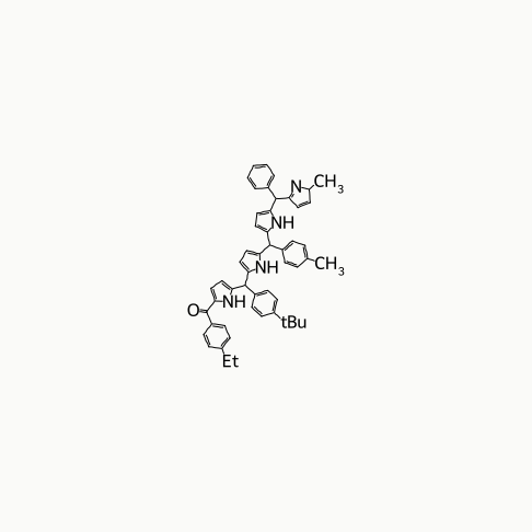 CCc1ccc(C(=O)c2ccc(C(c3ccc(C(C)(C)C)cc3)c3ccc(C(c4ccc(C)cc4)c4ccc(C(C5=NC(C)C=C5)c5ccccc5)[nH]4)[nH]3)[nH]2)cc1